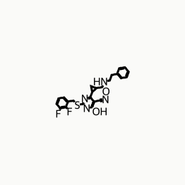 N#Cc1c(O)nc(SCc2cccc(F)c2F)nc1C1CC1C(=O)NCCc1ccccc1